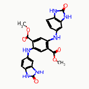 COC(=O)c1cc(Nc2ccc3[nH]c(=O)[nH]c3c2)c(C(=O)OC)cc1Nc1ccc2[nH]c(=O)[nH]c2c1